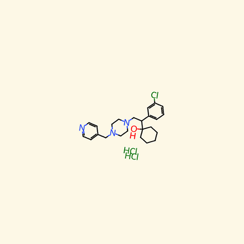 Cl.Cl.OC1(C(CN2CCN(Cc3ccncc3)CC2)c2cccc(Cl)c2)CCCCC1